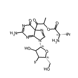 CC(OC(=O)[C@@H](N)C(C)C)C(=O)C12N=CN([C@@H]3O[C@H](CO)C(F)C3O)C1=NC(N)=NC2=O